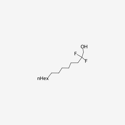 CCCCCCCCCCCCC(F)(F)CO